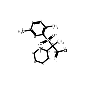 Cc1ccc(C)c(S(=O)(=O)C(C)(C(=O)Cl)C2CCCCN2)c1